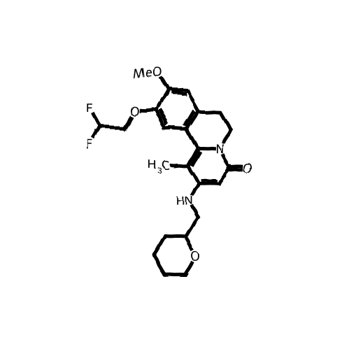 COc1cc2c(cc1OCC(F)F)-c1c(C)c(NCC3CCCCO3)cc(=O)n1CC2